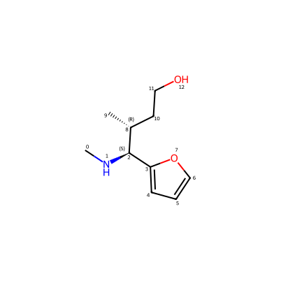 CN[C@H](c1ccco1)[C@H](C)CCO